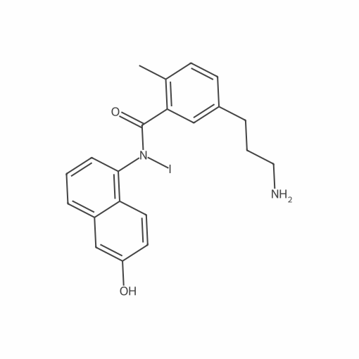 Cc1ccc(CCCN)cc1C(=O)N(I)c1cccc2cc(O)ccc12